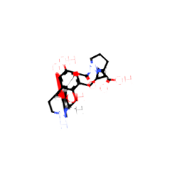 O=C1C[C@]23CCN[C@H](Cc4c(CC5CC5)cc(O)cc42)[C@]3(O)C[C@@H]1CC(=O)N1CCC[C@H]1C(=O)O